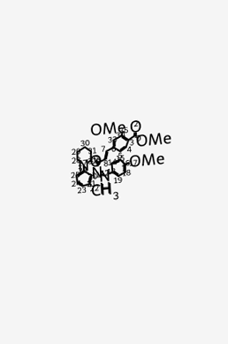 COC(=O)c1ccc(/C=C/C(=O)N(Nc2ccc(OC)cc2)c2c(C)cccc2N2CCCCC2)cc1OC